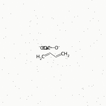 C=CC=C.O=C([O-])[O-].[Ca+2]